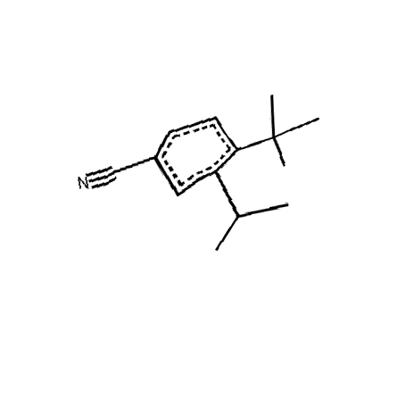 CC(C)c1cc(C#N)ccc1C(C)(C)C